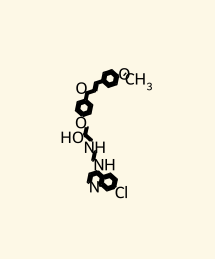 COc1ccc(/C=C/C(=O)c2ccc(OCC(O)CNCCNc3ccnc4cc(Cl)ccc34)cc2)cc1